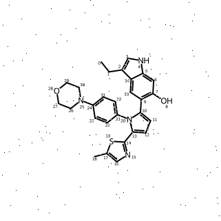 CCc1c[nH]c2cc(O)c(-c3ccc(-c4ncc(C)s4)n3-c3ccc(N4CCOCC4)cc3)cc12